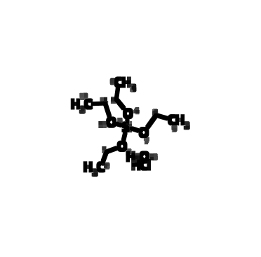 CCO[Si](OCC)(OCC)OCC.Cl.O